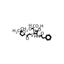 CC1(C)CC[C@@H](C(=O)CS[C@@H]2[C@H](NC(=O)Cc3ccccc3)C(=O)N2C(O)C(=O)O)O1